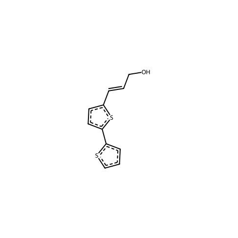 OCC=Cc1ccc(-c2cccs2)s1